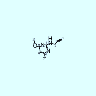 C#CCNc1nc(C)cc(OC)n1